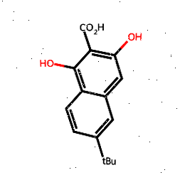 CC(C)(C)c1ccc2c(O)c(C(=O)O)c(O)cc2c1